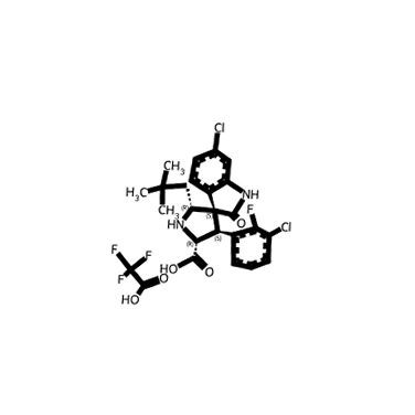 CC(C)(C)C[C@H]1N[C@@H](C(=O)O)[C@H](c2cccc(Cl)c2F)[C@@]12C(=O)Nc1cc(Cl)ccc12.O=C(O)C(F)(F)F